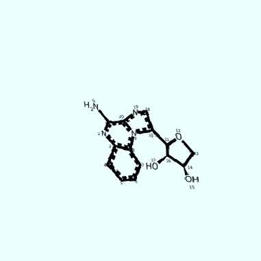 Nc1nc2ccccc2n2c(C3OC[C@@H](O)[C@H]3O)cnc12